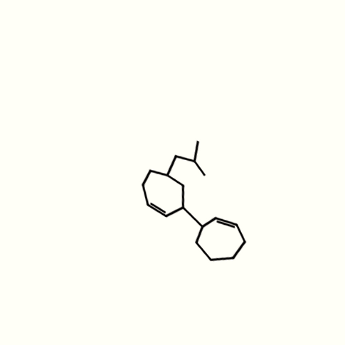 CC(C)CC1CCC=CC(C2C=CCCCC2)C1